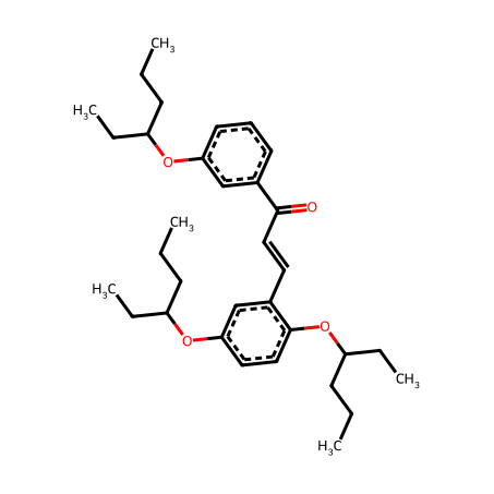 CCCC(CC)Oc1cccc(C(=O)C=Cc2cc(OC(CC)CCC)ccc2OC(CC)CCC)c1